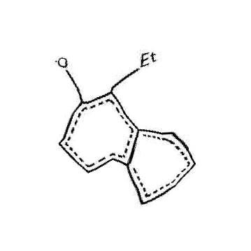 CCc1c([O])ccc2ccccc12